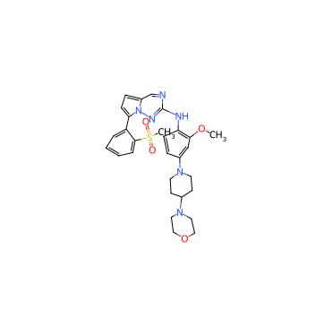 COc1cc(N2CCC(N3CCOCC3)CC2)ccc1Nc1ncc2ccc(-c3ccccc3S(C)(=O)=O)n2n1